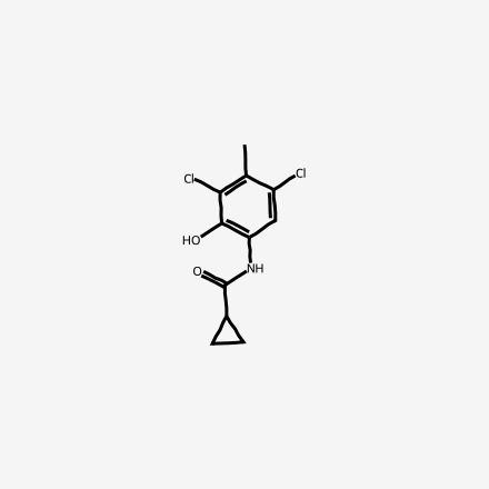 Cc1c(Cl)cc(NC(=O)C2CC2)c(O)c1Cl